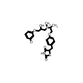 CC(COc1ccc(CC2SC(=O)NC2=O)cc1)N(C)CC(O)COc1cccc(Cl)c1